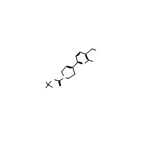 Cc1nc(C2=CCN(C(=O)OC(C)(C)C)CC2)ccc1CO